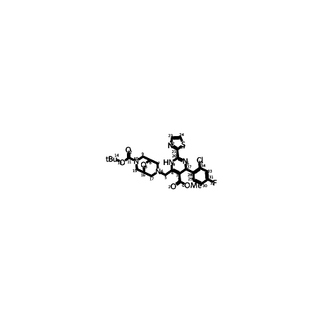 COC(=O)C1=C(CN2CC3CN(C(=O)OC(C)(C)C)CC(C2)O3)NC(c2nccs2)=NC1c1ccc(F)cc1Cl